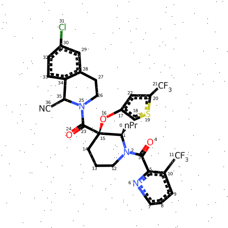 CCC[C@H]1N(C(=O)c2ncccc2C(F)(F)F)CCC[C@]1(Oc1csc(C(F)(F)F)c1)C(=O)N1CCc2cc(Cl)ccc2C1C#N